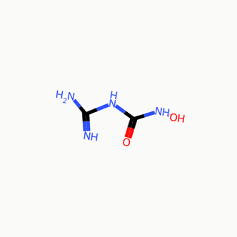 N=C(N)NC(=O)NO